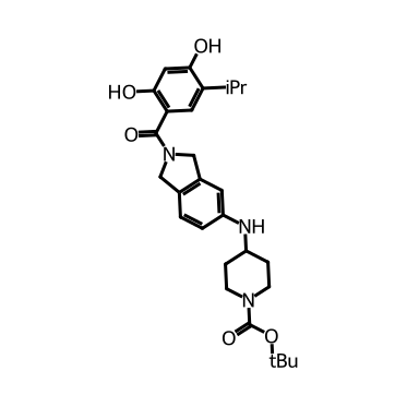 CC(C)c1cc(C(=O)N2Cc3ccc(NC4CCN(C(=O)OC(C)(C)C)CC4)cc3C2)c(O)cc1O